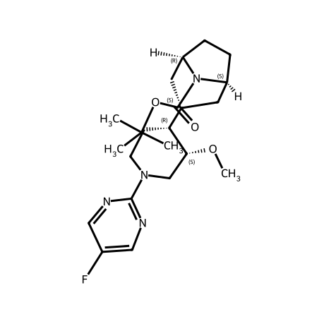 CO[C@@H]1CN(c2ncc(F)cn2)CC[C@@H]1[C@@H]1C[C@H]2CC[C@@H](C1)N2C(=O)OC(C)(C)C